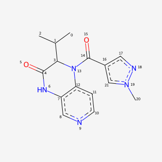 CC(C)C1C(=O)Nc2cnccc2N1C(=O)c1cnn(C)c1